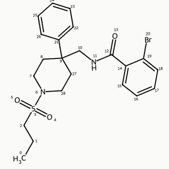 CCCS(=O)(=O)N1CCC(CNC(=O)c2ccccc2Br)(c2ccccc2)CC1